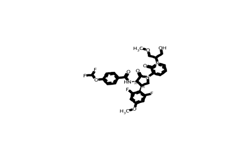 COCC(CO)n1cccc(N2C[C@@H](c3c(F)cc(OC)cc3F)[C@H](NC(=O)c3ccc(OC(F)F)cc3)C2=O)c1=O